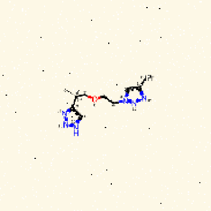 CC(C)c1cn(CCOC[C@@H](C)c2c[nH]nn2)nn1